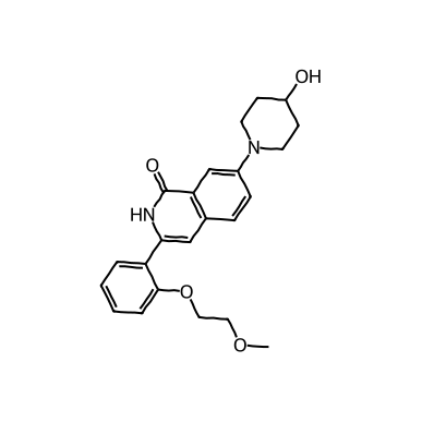 COCCOc1ccccc1-c1cc2ccc(N3CCC(O)CC3)cc2c(=O)[nH]1